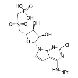 CC(C)Nc1nc(Cl)nc2c1ccn2[C@@H]1O[C@H](CS(=O)(=O)CP(=O)(O)O)[C@@H](O)[C@H]1O